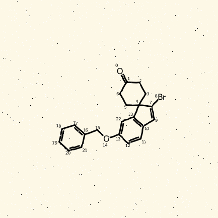 O=C1CCC2(CC1)C(Br)=Cc1ccc(OCc3ccccc3)cc12